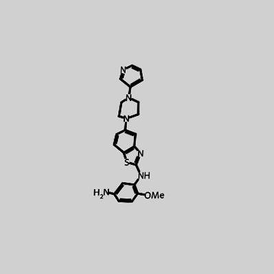 COc1ccc(N)cc1Nc1nc2cc(N3CCN(c4cccnc4)CC3)ccc2s1